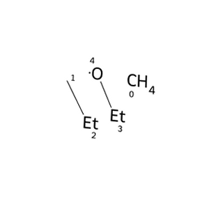 C.CCC.CC[O]